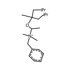 CC(C)CC(C)(CC(C)C)OC(C)[N+](C)(C)Cc1ccccc1